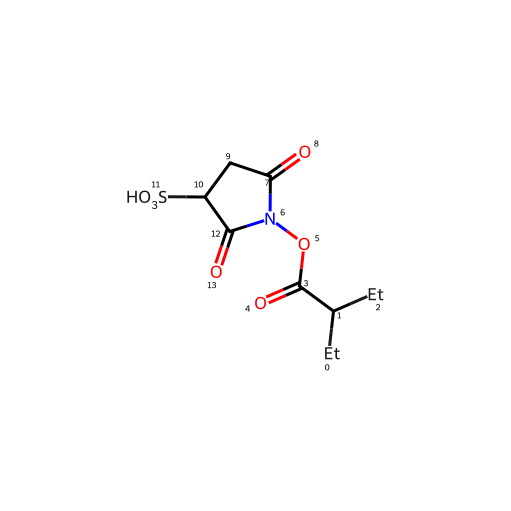 CCC(CC)C(=O)ON1C(=O)CC(S(=O)(=O)O)C1=O